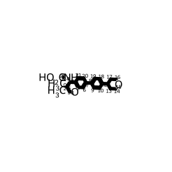 CC1(C)COc2cc(-c3ccc(C4CCOCC4)cc3)ccc2C1NC(=O)O